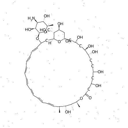 C[C@@H]1[C@H](O)[C@@H](C)/C=C/C=C/C=C/C=C/C=C/C=C/C=C/C(O[C@@H]2O[C@H](C)[C@@H](O)[C@H](N)[C@@H]2O)C[C@@H]2O[C@](O)(CC(O)C[C@@H](O)[C@H](O)CCC(O)CC(O)CC(=O)O[C@H]1C)C[C@H](O)[C@H]2C(=O)O